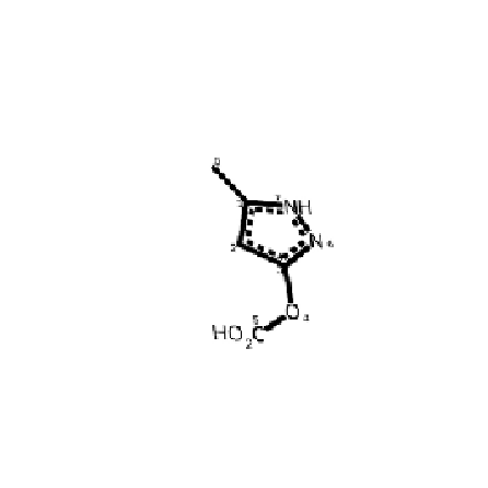 Cc1cc(OC(=O)O)n[nH]1